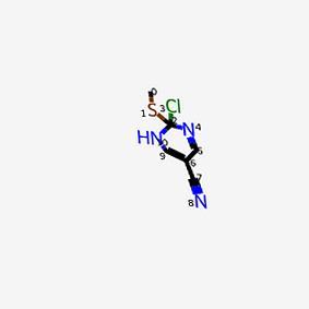 CSC1(Cl)N=CC(C#N)=CN1